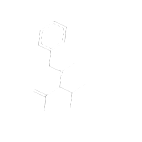 C=C(C)C(C(C)C)N(C)Cc1ccccc1